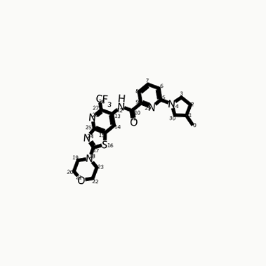 CC1CCN(c2cccc(C(=O)Nc3cc4sc(N5CCOCC5)nc4nc3C(F)(F)F)n2)C1